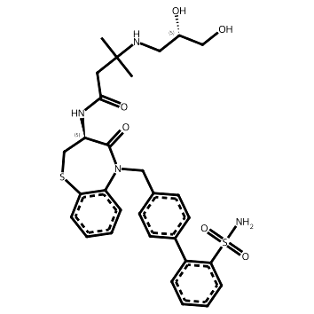 CC(C)(CC(=O)N[C@@H]1CSc2ccccc2N(Cc2ccc(-c3ccccc3S(N)(=O)=O)cc2)C1=O)NC[C@H](O)CO